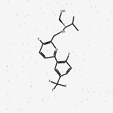 CC(C)[C@H](CO)NCc1nc(-c2cc(C(F)(F)F)ccc2F)ccc1F